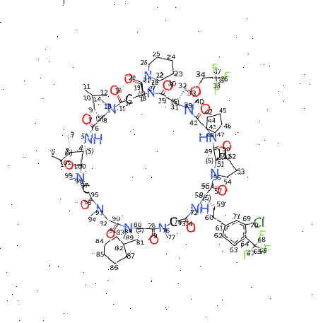 CC[C@H](C)[C@@H]1NC(=O)[C@H](CC(C)C)N(C)C(=O)C[C@@H](C(=O)N2CCCCC2)N(C)C(=O)[C@H](COCC(F)(F)F)N(C)C(=O)C2(CCCC2)NC(=O)[C@@H]2CCCN2C(=O)[C@H](CCc2ccc(C(F)(F)F)c(Cl)c2)NC(=O)CN(C)C(=O)[C@H](CC2CCCCC2)N(C)C(=O)CN(C)C(=O)CN(C)C1=O